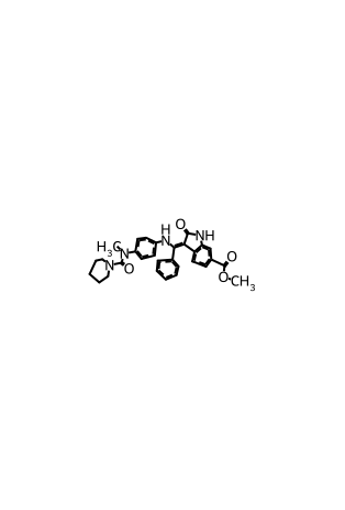 COC(=O)c1ccc2c(c1)NC(=O)/C2=C(\Nc1ccc(N(C)C(=O)N2CCCCC2)cc1)c1ccccc1